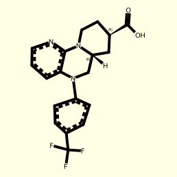 O=C(O)[C@@H]1CCN2c3ncccc3N(c3ccc(C(F)(F)F)cc3)C[C@H]2C1